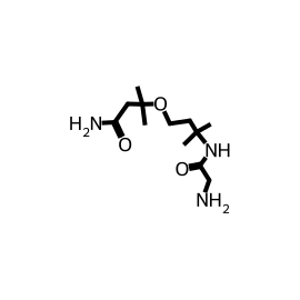 CC(C)(CCOC(C)(C)CC(N)=O)NC(=O)CN